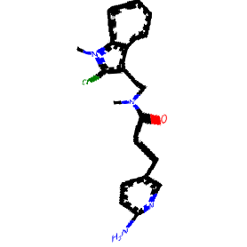 CN(Cc1c(Cl)n(C)c2ccccc12)C(=O)/C=C/c1ccc(N)nc1